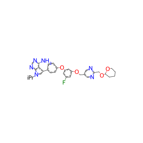 CC(C)n1cc(-c2ccc(Oc3cc(F)cc(OCc4cnc(COC5CCCCO5)nc4)c3)cc2)c2c(N)ncnc21